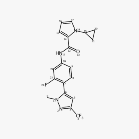 Cn1nc(C(F)(F)F)cc1-c1ccc(NC(=O)c2cccn2C2CC2)cc1F